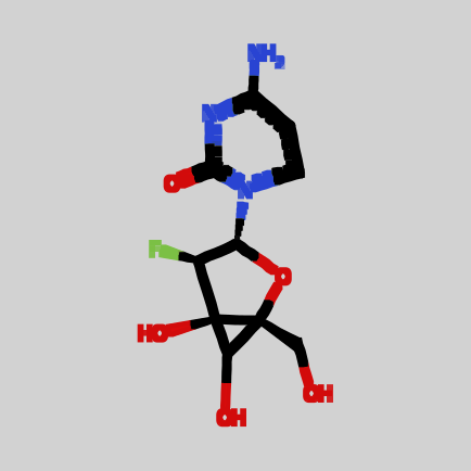 Nc1ccn([C@@H]2O[C@]3(CO)C(O)[C@]3(O)[C@H]2F)c(=O)n1